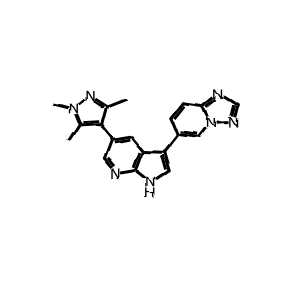 Cc1nn(C)c(C)c1-c1cnc2[nH]cc(-c3ccc4ncnn4c3)c2c1